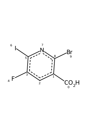 O=C(O)c1cc(F)c(I)nc1Br